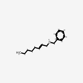 CCCCCC=CCOCc1ccccc1